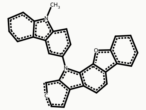 Cn1c2ccccc2c2cc(-n3c4ccccc4c4ccc5c6ccccc6oc5c43)ccc21